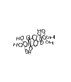 O=C1c2ccc3c4c(ccc(c24)C(=O)N1c1cc(CO)c(O)c(CO)c1)C(=O)N(c1cc(CO)c(O)c(CO)c1)C3=O